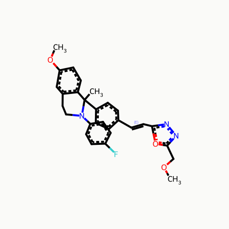 COCc1nnc(/C=C/c2ccc(C3(C)c4ccc(OC)cc4CCN3c3ccc(F)cc3)cc2)o1